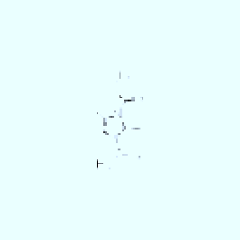 Cc1cc(B(O)O)c(C)n1C(=O)OC(C)(C)C